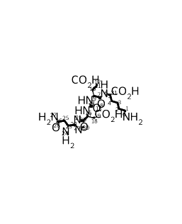 NCCCC[C@H](NC(=O)[C@H](CCC(=O)O)NC(=O)N[C@@H](CC(=O)O)c1nc([C@@H](N)CC(N)=O)no1)C(=O)O